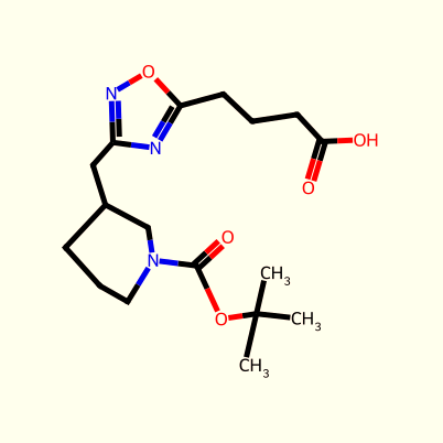 CC(C)(C)OC(=O)N1CCCC(Cc2noc(CCCC(=O)O)n2)C1